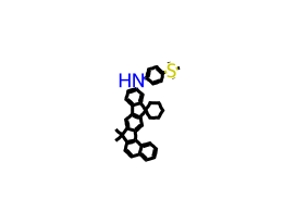 CC1(C)c2cc3c(cc2-c2c1ccc1ccccc21)C1(CCCCC1)c1cc(Nc2ccc(S(C)(C)C)cc2)ccc1-3